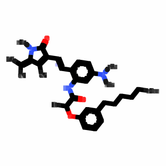 CCCCCCCCCCCCCCCc1cccc(OC(CC)C(=O)Nc2cc(N(CCCC)CCCC)ccc2/C=C/C2=C(C#N)C(=C(C#N)C#N)N(CCCC)C2=O)c1